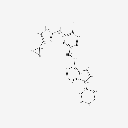 Fc1cnc(NCc2cccc3c2ncn3C2CCCCO2)nc1Nc1cc(C2CC2)n[nH]1